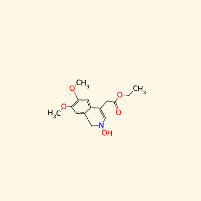 CCOC(=O)CC1=CN(O)Cc2cc(OC)c(OC)cc21